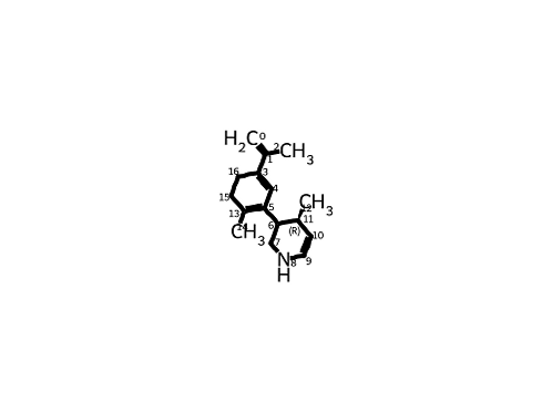 C=C(C)C1=CC(C2CNC=C[C@@H]2C)=C(C)CC1